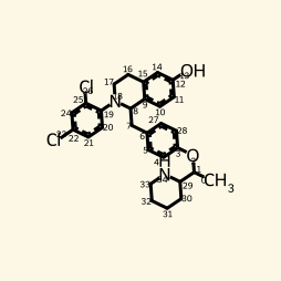 CC(Oc1ccc(CC2c3ccc(O)cc3CCN2c2ccc(Cl)cc2Cl)cc1)C1CCCCN1